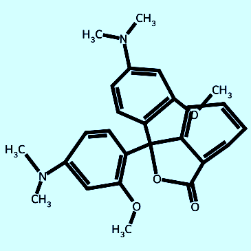 COc1cc(N(C)C)ccc1C1(c2ccc(N(C)C)cc2OC)OC(=O)c2ccccc21